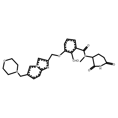 CN(C(=O)c1cccc(OCc2cn3cc(CN4CCOCC4)ccc3n2)c1C=O)C1CCC(=O)NC1=O